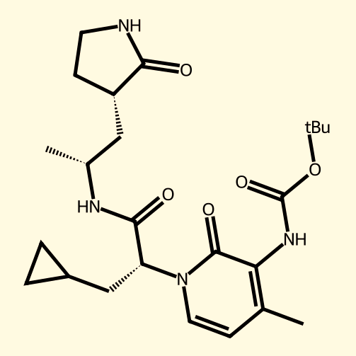 Cc1ccn([C@H](CC2CC2)C(=O)N[C@H](C)C[C@@H]2CCNC2=O)c(=O)c1NC(=O)OC(C)(C)C